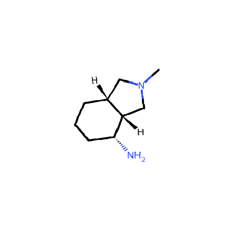 CN1C[C@H]2CCC[C@@H](N)[C@H]2C1